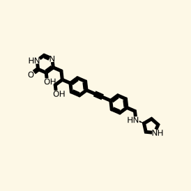 O=c1[nH]cnc(CC(CO)c2ccc(C#Cc3ccc(CN[C@@H]4CCNC4)cc3)cc2)c1O